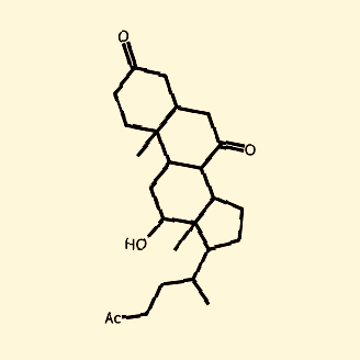 CC(=O)CCC(C)C1CCC2C3C(=O)CC4CC(=O)CCC4(C)C3CC(O)C12C